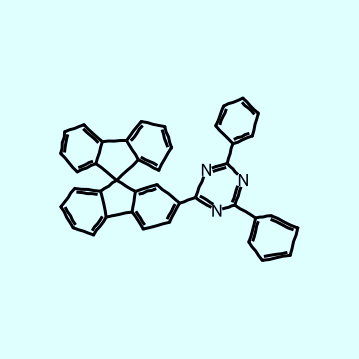 c1ccc(-c2nc(-c3ccccc3)nc(-c3ccc4c(c3)C3(c5ccccc5-c5ccccc53)c3ccccc3-4)n2)cc1